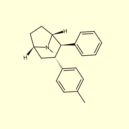 Cc1ccc([C@@H]2C[C@@H]3CC[C@H]([C@H]2c2ccccc2)N3C)cc1